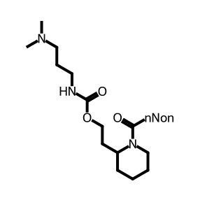 CCCCCCCCCC(=O)N1CCCCC1CCOC(=O)NCCCN(C)C